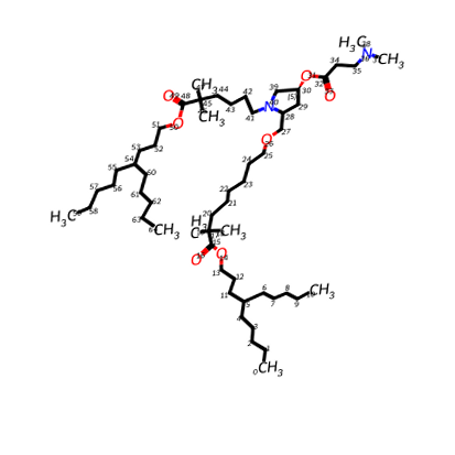 CCCCCC(CCCCC)CCCOC(=O)C(C)(C)CCCCCCOCC1C[C@H](OC(=O)CCN(C)C)CN1CCCCC(C)(C)C(=O)OCCCC(CCCCC)CCCCC